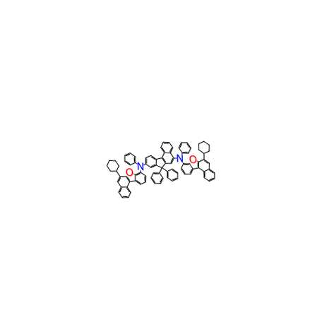 c1ccc(N(c2ccc3c(c2)C(c2ccccc2)(c2ccccc2)c2cc(N(c4ccccc4)c4cccc5c4oc4c(C6CCCCC6)cc6ccccc6c45)c4ccccc4c2-3)c2cccc3c2oc2c(C4CCCCC4)cc4ccccc4c23)cc1